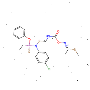 CCP(=S)(Oc1ccccc1)N(SCNC(=O)O/N=C(\C)SC)c1ccc(Cl)cc1